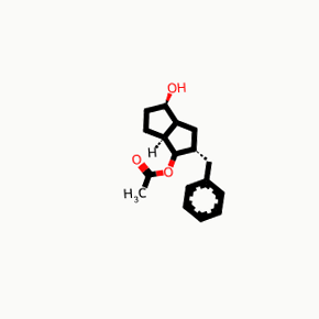 CC(=O)OC1[C@@H](Cc2ccccc2)CC2[C@@H]1CC[C@H]2O